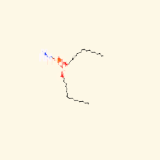 CCCCCCCC/C=C\CCCCCCCC(=O)OC[C@H](COP(=O)(O)OCCNC#N)OC(=O)CCCCCCC/C=C\CCCCCCCC